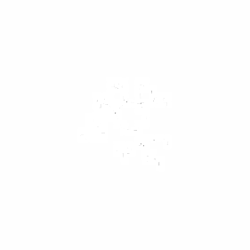 CC1(C)CC([N+](C)(C)C)CC(C)(C)N1O.Cl.[Cl-]